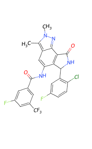 Cc1c2cc(NC(=O)c3cc(F)cc(C(F)(F)F)c3)c3c(c2nn1C)C(=O)NC3c1cc(F)ccc1Cl